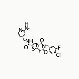 CNc1cc(CNC(=O)c2cn3c(=O)n(Cc4ccc(Cl)c(F)c4)c(=O)c(C)c3s2)ccn1